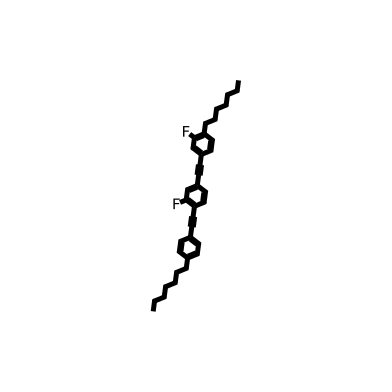 CCCCCCCc1ccc(C#Cc2ccc(C#Cc3ccc(CCCCCCC)c(F)c3)cc2F)cc1